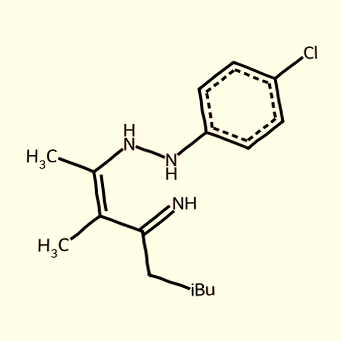 CCC(C)CC(=N)C(C)=C(C)NNc1ccc(Cl)cc1